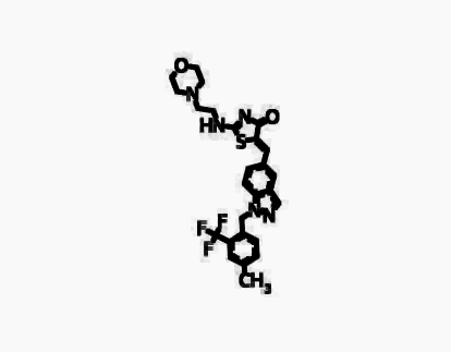 Cc1ccc(Cn2ncc3cc(/C=C4\SC(NCCN5CCOCC5)=NC4=O)ccc32)c(C(F)(F)F)c1